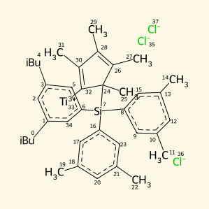 CCC(C)c1cc(C(C)CC)cc([Si](c2cc(C)cc(C)c2)(c2cc(C)cc(C)c2)C2(C)C(C)=C(C)C(C)=[C]2[Ti+3])c1.[Cl-].[Cl-].[Cl-]